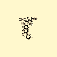 O=C[C@@H](Nc1ccc2cc(C3C=CC=CC3)c(=O)oc2c1)[C@H](O)[C@@H](O)[C@@H](O)CO